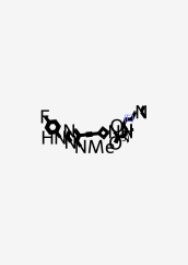 CNc1nc(Nc2ccc(F)cc2)ncc1C#CC1CC(NC(=O)[C@H](C)N(C)C(=O)/C=C/CN(C)C)C1